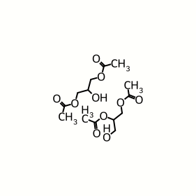 CC(=O)OCC(CO)OC(C)=O.CC(=O)OCC(O)COC(C)=O